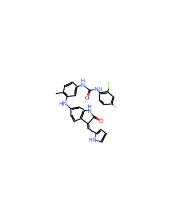 Cc1ccc(NC(=O)Nc2ccc(F)cc2F)cc1Nc1ccc2c(c1)NC(=O)C2=Cc1ccc[nH]1